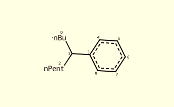 CCC[CH]C(CCCCC)c1ccccc1